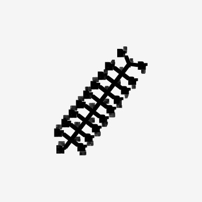 Br[C](Br)C(Br)(Br)C(Br)(Br)C(Br)(Br)C(Br)(Br)C(Br)(Br)C(Br)(Br)C(Br)(Br)C(Br)(Br)Br